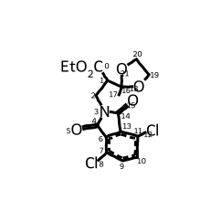 CCOC(=O)C(CN1C(=O)c2c(Cl)ccc(Cl)c2C1=O)C1(C)OCCO1